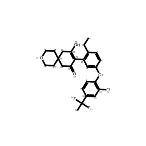 CCc1ccc(Oc2ccc(C(C)(F)F)cc2Cl)cc1C1=C(O)CC2(CCOCC2)CC1=O